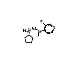 CCN(C[C@@H]1CCC[C@H]1N)c1ccncc1F